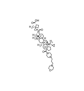 CC1([C@@H]2CC[C@]3(C(=O)N4CCN(CCCN5CCOCC5)CC4)CC[C@]4(C)[C@H](CC[C@@H]5[C@@]6(C)CC[C@H](OC(=O)[C@H]7C[C@@H](C(=O)O)C7(C)C)C(C)(C)[C@@H]6CC[C@]54C)[C@@H]23)CC1